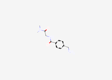 CN(C)C(=O)CNC(=O)c1ccc(CN)cc1